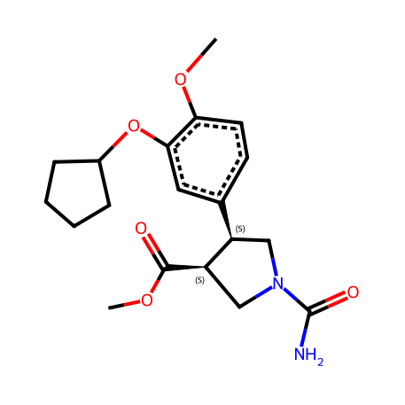 COC(=O)[C@@H]1CN(C(N)=O)C[C@@H]1c1ccc(OC)c(OC2CCCC2)c1